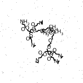 C[Si](C)(CCCOCCOCC(COC(=O)CCN)(COC(=O)CCN1CC1)COC(=O)CCN1CC1)O[Si](C)(C)CCCOCCOCC(COC(=O)CCN1CC1)(COC(=O)CCN1CC1)COC(=O)CCN1CC1